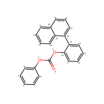 O=C(Oc1ccccc1)Oc1ccccc1-c1cccc2ccccc12